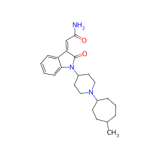 CC1CCCC(N2CCC(N3C(=O)/C(=C\C(N)=O)c4ccccc43)CC2)CC1